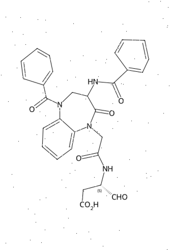 O=C[C@H](CC(=O)O)NC(=O)CN1C(=O)C(NC(=O)c2ccccc2)CN(C(=O)c2ccccc2)c2ccccc21